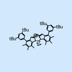 Cc1c(C)c(-c2cc(C(C)(C)C)cc(C(C)(C)C)c2)c2c(c1C)[CH]([Zr]1([CH]3C(C(C)C)=Cc4c(-c5cc(C(C)(C)C)cc(C(C)(C)C)c5)c(C)c(C)c(C)c43)[CH2][CH2]1)C(C(C)C)=C2